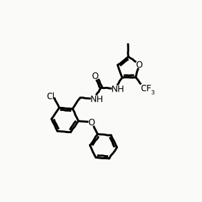 Cc1cc(NC(=O)NCc2c(Cl)cccc2Oc2ccccc2)c(C(F)(F)F)o1